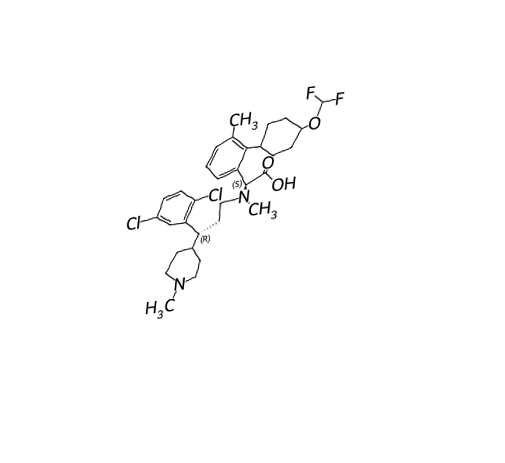 Cc1cccc([C@@H](C(=O)O)N(C)CC[C@@H](c2cc(Cl)ccc2Cl)C2CCN(C)CC2)c1C1CCC(OC(F)F)CC1